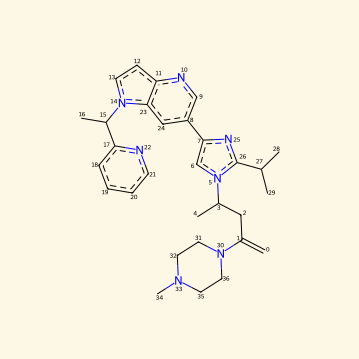 C=C(CC(C)n1cc(-c2cnc3ccn(C(C)c4ccccn4)c3c2)nc1C(C)C)N1CCN(C)CC1